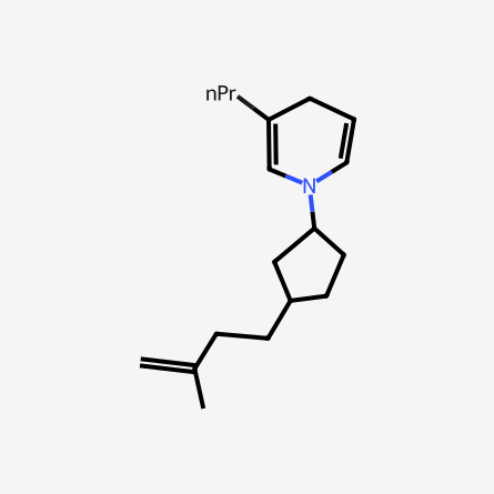 C=C(C)CCC1CCC(N2C=CCC(CCC)=C2)C1